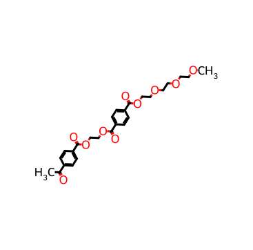 COCCOCCOCCOC(=O)c1ccc(C(=O)OCCOC(=O)c2ccc(C(C)=O)cc2)cc1